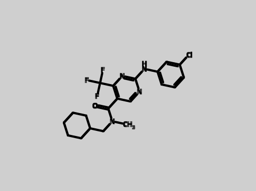 CN(CC1CCCCC1)C(=O)c1cnc(Nc2cccc(Cl)c2)nc1C(F)(F)F